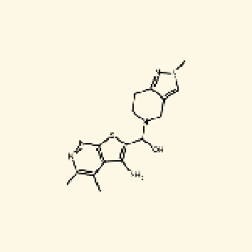 Cc1nnc2sc(C(O)N3CCc4nn(C)cc4C3)c(N)c2c1C